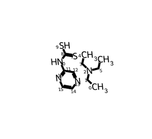 CCN(CC)CC.S=C(S)Nc1cnccn1